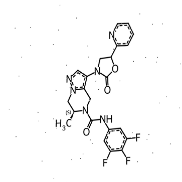 C[C@H]1Cn2ncc(N3CC(c4ccccn4)OC3=O)c2CN1C(=O)Nc1cc(F)c(F)c(F)c1